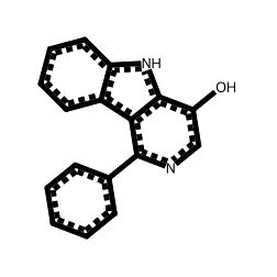 Oc1cnc(-c2ccccc2)c2c1[nH]c1ccccc12